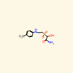 NC(=O)C(O)S(=O)(=O)CCNc1ccc([N+](=O)[O-])cc1